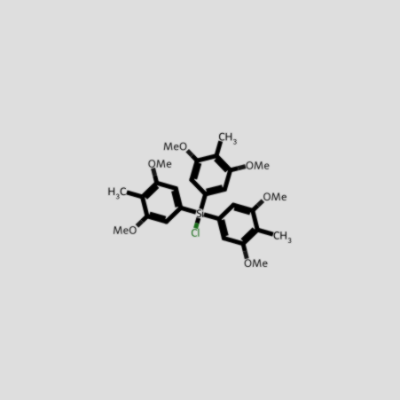 COc1cc([Si](Cl)(c2cc(OC)c(C)c(OC)c2)c2cc(OC)c(C)c(OC)c2)cc(OC)c1C